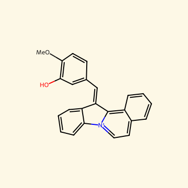 COc1ccc(C=C2c3ccccc3-[n+]3ccc4ccccc4c32)cc1O